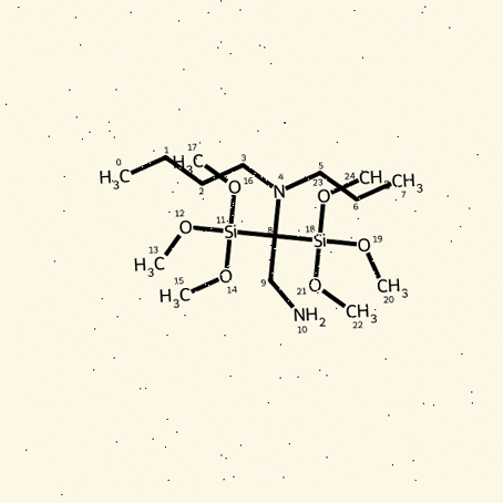 CCCCN(CCC)C(CN)([Si](OC)(OC)OC)[Si](OC)(OC)OC